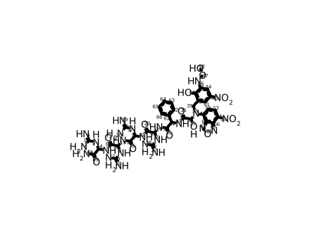 N=C(N)NC(NC(=O)C(NC(=N)N)NC(=O)C(NC(=N)N)NC(=O)C(NC(=N)N)NC(=O)C(NC(=O)C(O)N(Cc1cc([N+](=O)[O-])cc(NOO)c1O)c1ccc([N+](=O)[O-])c2nonc12)c1ccccc1)C(N)=O